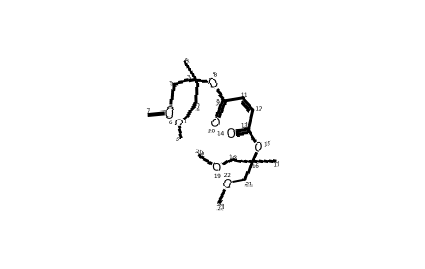 COCC(C)(COC)OC(=O)/C=C\C(=O)OC(C)(COC)COC